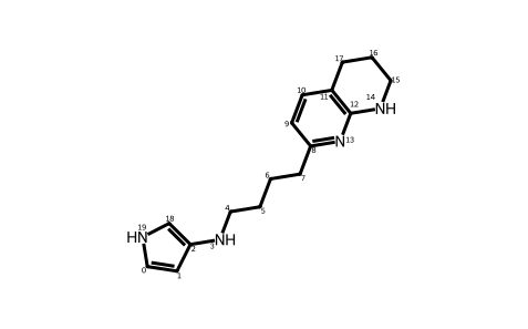 c1cc(NCCCCc2ccc3c(n2)NCCC3)c[nH]1